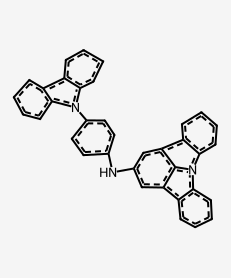 c1ccc2c(c1)c1ccccc1n2-c1ccc(Nc2cc3c4ccccc4n4c5ccccc5c(c2)c34)cc1